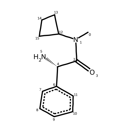 CN(C(=O)[C@@H](N)c1ccccc1)C1CCC1